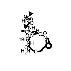 C=C[C@@H]1C[C@]1(NC(=O)[C@@H]1C[C@@H]2CN1C(=O)[C@H](C(C)(C)C)NC(=O)[C@H](N)COC/C=C/c1cccc3c1CN(C3)C(=O)O2)C(=O)NS(=O)(=O)C1CC1